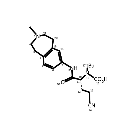 CN1CCc2ccc(NC(=O)[C@@H](CCC#N)N(C(=O)O)C(C)(C)C)cc2CC1